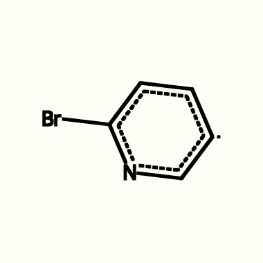 Brc1cc[c]cn1